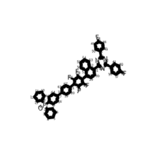 O=P(c1ccccc1)(c1ccccc1)c1ccc(-c2ccc(-c3c(F)c(F)c(-c4ccc(-c5nc(-c6ccc(F)cc6)nc(-c6ccc(F)cc6)n5)c5ccccc45)c(F)c3F)cc2)cc1